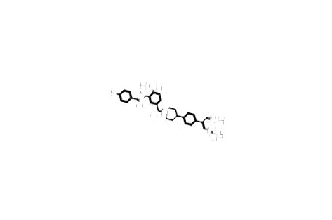 CN/C=C(\C=N)c1ccc(C2CCN(C(=O)c3ccc(C)c(NC(=O)c4ccc(F)cc4)c3)CC2)cc1